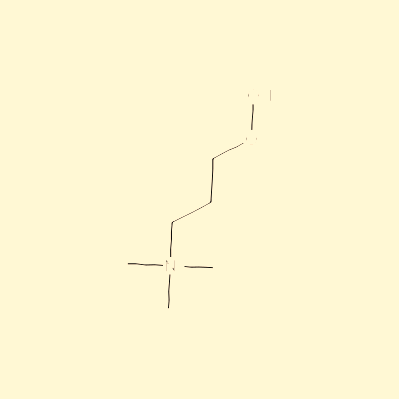 C[N+](C)(C)CCCOO